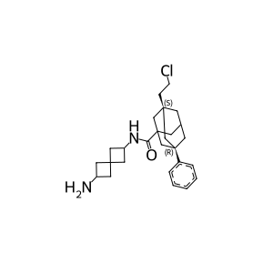 NC1CC2(C1)CC(NC(=O)C13CC4C[C@@](CCCl)(C1)C[C@](c1ccccc1)(C4)C3)C2